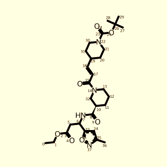 CCOC(=O)CC(NC(=O)[C@@H]1CCCN(C(=O)/C=C/C2CCN(C(=O)OC(C)(C)C)CC2)C1)c1cc(C)no1